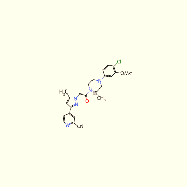 COc1cc(N2CCN(C(=O)Cn3nc(-c4ccnc(C#N)c4)cc3C)[C@@H](C)C2)ccc1Cl